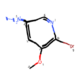 COc1cc(N)cnc1Br